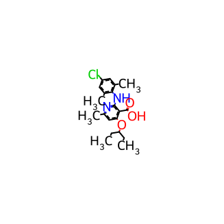 CCC(CC)Oc1cc(C)nc(Nc2c(C)cc(Cl)cc2C)c1C(=O)O